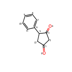 O=C1CC(=O)C(c2ccccc2)C1